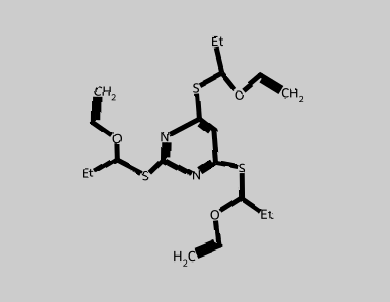 C=COC(CC)Sc1cc(SC(CC)OC=C)nc(SC(CC)OC=C)n1